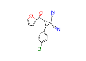 N#CC1(C#N)C(C(=O)c2ccco2)C1c1ccc(Cl)cc1